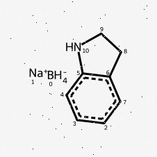 [BH4-].[Na+].c1ccc2c(c1)CCN2